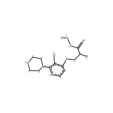 CCCCCCOC(=O)C(CC)CSc1ccnc(N2CCOCC2)c1Cl